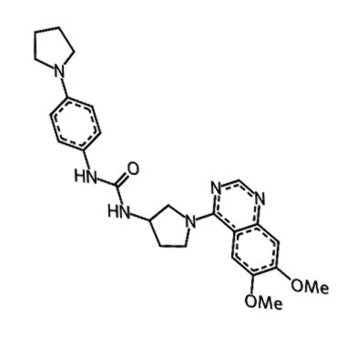 COc1cc2ncnc(N3CCC(NC(=O)Nc4ccc(N5CCCC5)cc4)C3)c2cc1OC